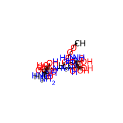 C#CCOCCOCCOCCOCCN(CCCNC(=O)CO[C@@H]([C@@H]1OC(C(=O)O)=C[C@H](NC(=N)N)[C@H]1NC(C)=O)[C@H](O)CO)CCCNC(=O)CO[C@@H]([C@@H]1OC(C(=O)O)=C[C@H](NC(=N)N)[C@H]1NC(C)=O)[C@H](O)CO